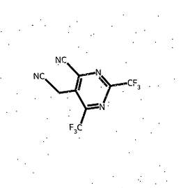 N#CCc1c(C#N)nc(C(F)(F)F)nc1C(F)(F)F